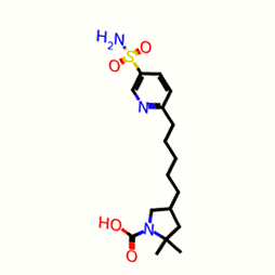 CC1(C)CC(CCCCCc2ccc(S(N)(=O)=O)cn2)CN1C(=O)O